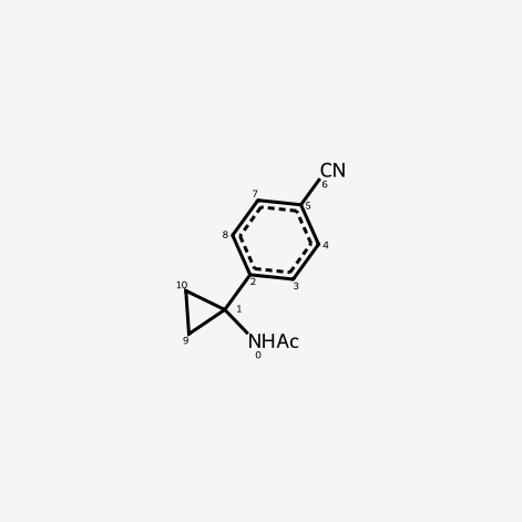 CC(=O)NC1(c2ccc(C#N)cc2)CC1